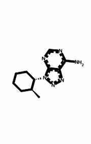 C[C@H]1CCCC[C@@H]1n1nnc2c(N)ncnc21